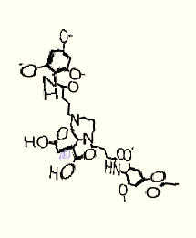 COc1cc(OC)c(NC(=O)CCCN2CCCN(CCCC(=O)Nc3c(OC)cc(OC(C)=O)cc3OC)C(/C(=C\C(=O)O)C(=O)O)C2)c(OC)c1